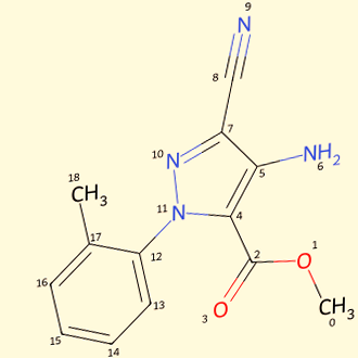 COC(=O)c1c(N)c(C#N)nn1-c1ccccc1C